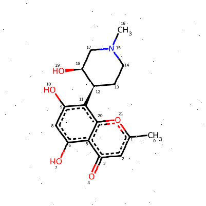 Cc1cc(=O)c2c(O)cc(O)c([C@@H]3CCN(C)C[C@@H]3O)c2o1